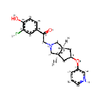 O=C(CN1C[C@H]2CC(Oc3cccnc3)C[C@H]2C1)c1ccc(O)c(F)c1